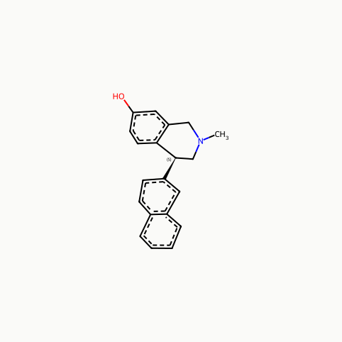 CN1Cc2cc(O)ccc2[C@H](c2ccc3ccccc3c2)C1